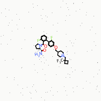 NC(=O)[C@@H]1CCCN1C(=O)c1c(F)cccc1-c1ccc(OCC2CCN(CC3(C(F)(F)F)CCC3)CC2)cc1F